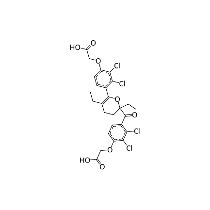 CCC1=C(c2ccc(OCC(=O)O)c(Cl)c2Cl)OC(CC)(C(=O)c2ccc(OCC(=O)O)c(Cl)c2Cl)CC1